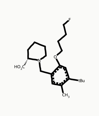 Cc1cc(CN2CCCC[C@H]2C(=O)O)c(OCCCCF)cc1C(C)(C)C